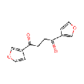 O=C(CCC(=O)c1ccoc1)c1ccoc1